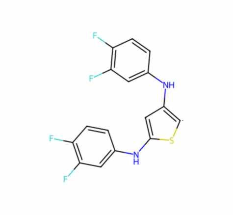 Fc1ccc(Nc2[c]sc(Nc3ccc(F)c(F)c3)c2)cc1F